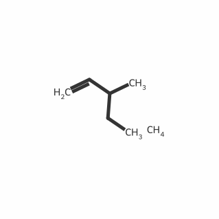 C.C=CC(C)CC